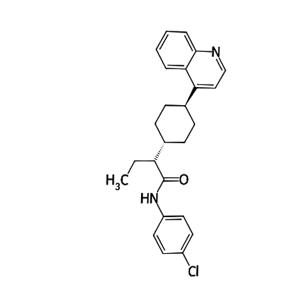 CCC(C(=O)Nc1ccc(Cl)cc1)[C@H]1CC[C@H](c2ccnc3ccccc32)CC1